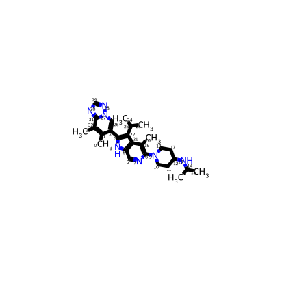 Cc1c(-c2[nH]c3cnc(N4CCC(NC(C)C)CC4)c(C)c3c2C(C)C)cn2ncnc2c1C